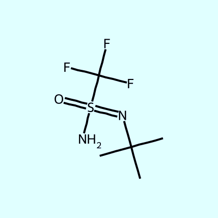 CC(C)(C)N=S(N)(=O)C(F)(F)F